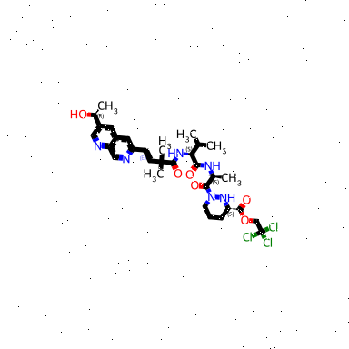 CC(C)[C@H](NC(=O)C(C)(C)/C=C/c1cc2cc([C@@H](C)O)cnc2cn1)C(=O)N[C@@H](C)C(=O)N1CCC[C@@H](C(=O)OCC(Cl)(Cl)Cl)N1